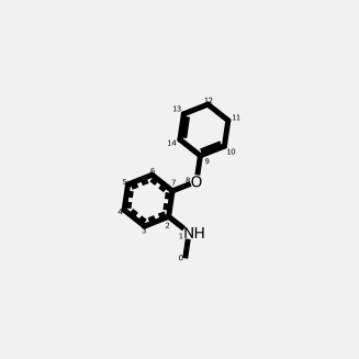 CNc1ccccc1OC1=CCCC=C1